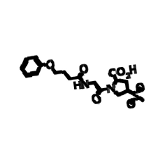 CS(=O)(=O)C1CC(C(=O)O)N(C(=O)CNC(=O)CCCOc2ccccc2)C1